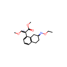 CCON=C1CCc2cccc(/C(=C\OC)C(=O)OC)c2C1